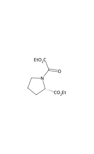 CCOC(=O)C(=O)N1CCC[C@H]1C(=O)OCC